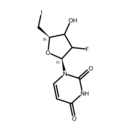 O=c1ccn([C@H]2O[C@@H](CI)C(O)C2F)c(=O)[nH]1